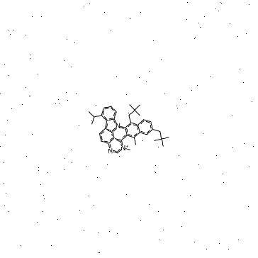 Cc1c2cc(CC(C)(C)C)ccc2c(CC(C)(C)C)c2c1c1c3c(ccc4c5c(C(C)C)cccc5n2c43)nc[n+]1C